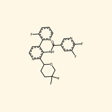 O=C(Nc1c(-c2ncccc2F)ccnc1C1CCC(F)(F)CO1)c1cnc(F)c(F)c1